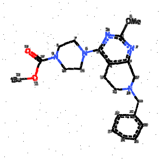 COc1nc2c(c(N3CCN(C(=O)OC(C)(C)C)CC3)n1)CCN(Cc1ccccc1)C2